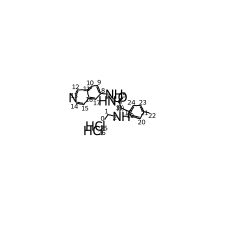 CCN[C@@H](C(=O)NNc1ccc2cnccc2c1)c1ccc(C)cc1.Cl.Cl